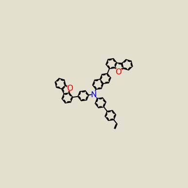 C=Cc1ccc(-c2ccc(N(c3ccc(-c4cccc5c4oc4ccccc45)cc3)c3ccc4cc(-c5cccc6c5oc5ccccc56)ccc4c3)cc2)cc1